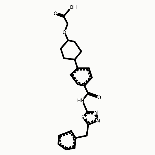 O=C(O)COC1CCC(c2ccc(C(=O)Nc3nnc(Cc4ccccc4)s3)cc2)CC1